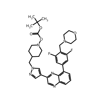 CC(C)(C)OC(=O)ON1CCC(Cn2cc(-c3cnc4cccc(-c5cc(F)c(CN6CCOCC6)c(F)c5)c4n3)cn2)CC1